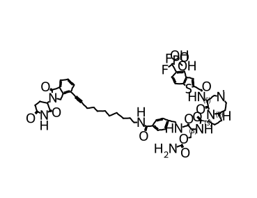 CN1CC[C@H]2CC[C@@H](C(=O)N[C@@H](COC(N)=O)C(=O)NCc3ccc(C(=O)NCCCCCCCCCC#Cc4cccc5c4CN(C4CCC(=O)NC4=O)C5=O)cc3)N2C(=O)[C@@H](NC(=O)c2cc3cc(C(F)(F)P(=O)(O)O)ccc3s2)C1